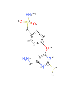 CNS(=O)(=O)Cc1ccc(Oc2cc(CN)nc(SC)n2)cc1